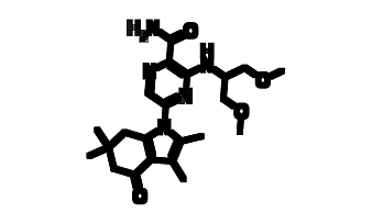 COCC(COC)Nc1nc(-n2c(C)c(C)c3c2CC(C)(C)CC3=O)cnc1C(N)=O